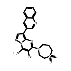 Nc1c(Br)c(N2CCCS(=O)(=O)CC2)nc2c(-c3cnc4ccccc4c3)cnn12